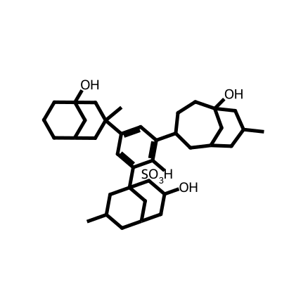 CC1CC2CC(c3cc(C4(C)CC5CCCC(O)(C5)C4)cc(C45CC(C)CC(CC(O)C4)C5)c3S(=O)(=O)O)CCC(O)(C1)C2